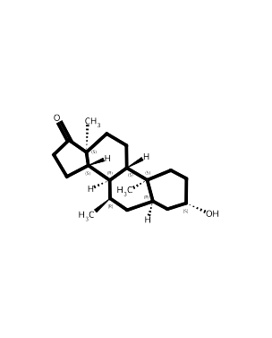 C[C@@H]1C[C@@H]2C[C@@H](O)CC[C@]2(C)[C@H]2CC[C@]3(C)C(=O)CC[C@H]3[C@H]12